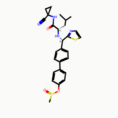 CC(C)C[C@H](N[C@@H](c1ccc(-c2ccc(OS(C)=O)cc2)cc1)c1nccs1)C(=O)NC1(C#N)CC1